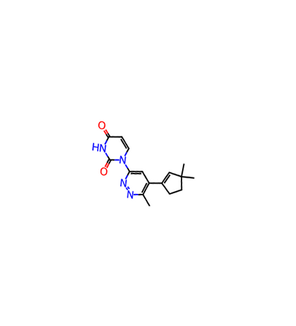 Cc1nnc(-n2ccc(=O)[nH]c2=O)cc1C1=CC(C)(C)CC1